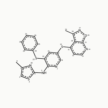 Cc1csc(Nc2ncc(Sc3ccnc4onc(C)c34)cc2Sc2ccccc2)n1